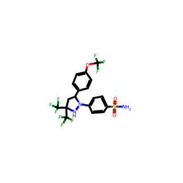 NS(=O)(=O)c1ccc(N2NC(C(F)(F)F)(C(F)(F)F)CC2c2ccc(OC(F)(F)F)cc2)cc1